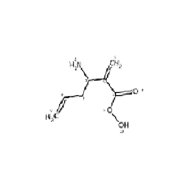 C=CCC(N)C(=C)C(=O)OO